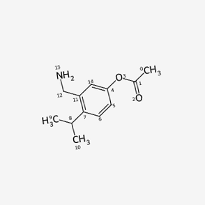 CC(=O)Oc1ccc(C(C)C)c(CN)c1